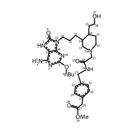 CCCCOc1nc(N)c2[nH]c(=O)n(CCCC3CN(CC(=O)NCc4ccc(CC(=O)OC)cc4)CCC3CCO)c2n1